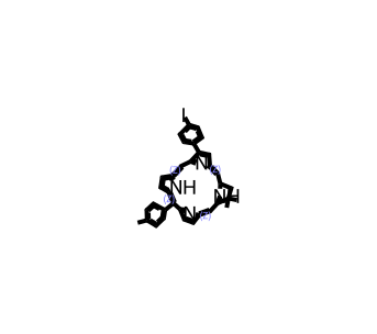 Cc1ccc(/C2=c3\cc/c([nH]3)=C/C3=NC(=C\C4CC(C)(C)C(/C=C5/C=CC2=N5)N4)/C=C3c2ccc(I)cc2)cc1